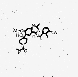 COc1cc2nc(C)nc(N[C@H](C)c3cccc(C#N)c3C)c2cc1C1(O)CCN(C(=O)N(C)C)CC1